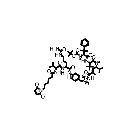 C/C(=C\C(C(C)C)N(C)C(=O)C(NC(=O)C(N(C)C(=O)OC(C)(C)C)C(C)(C)c1ccccc1)C(C)(C)C)C(=O)NS(=O)(=O)Cc1ccc(NC(=O)C(CCCNC(N)=O)NC(=O)C(NC(=O)CCCCCN2C(=O)C=CC2=O)C(C)C)cc1